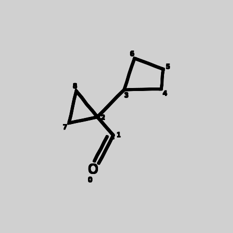 O=[C]C1(C2CCC2)CC1